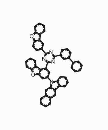 c1ccc(-c2cccc(-c3nc(-c4ccc5oc6ccccc6c5c4)nc(-c4cc(-n5c6ccccc6c6cc7ccccc7cc65)cc5oc6ccccc6c45)n3)c2)cc1